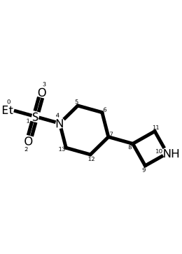 CCS(=O)(=O)N1CCC(C2CNC2)CC1